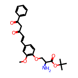 COc1cc(C=CC(=O)CC(=O)c2ccccc2)ccc1OCC(N)C(=O)OC(C)(C)C